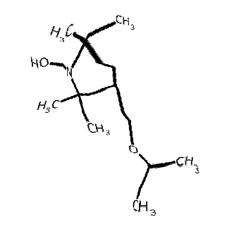 CC(C)OCC1CC(C)(C)N(O)C1(C)C